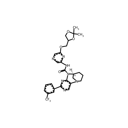 CC1(C)OCC(COc2cncc(NC(=O)N3c4nc(-c5cccc(C(F)(F)F)c5)ncc4N4CCC[C@H]3C4)n2)O1